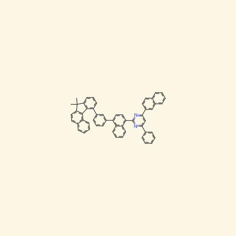 CC1(C)c2cccc(-c3cccc(-c4ccc(-c5nc(-c6ccccc6)cc(-c6ccc7ccccc7c6)n5)c5ccccc45)c3)c2-c2c1ccc1ccccc21